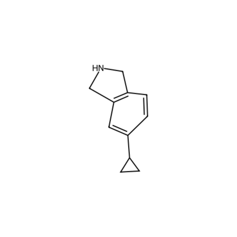 c1cc2c(cc1C1CC1)CNC2